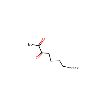 CCCCCCCCCCC(=O)C(=O)CC